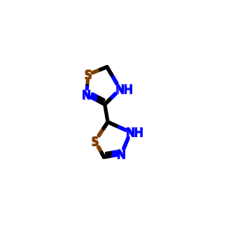 C1=NNC(C2=NSCN2)S1